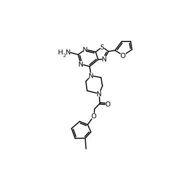 Cc1cccc(OCC(=O)N2CCN(c3nc(N)nc4sc(-c5ccco5)nc34)CC2)c1